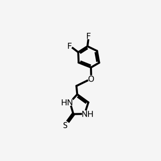 Fc1ccc(OCc2c[nH]c(=S)[nH]2)cc1F